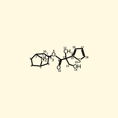 CN1C2CCC1CC(OC(=O)C(C)(CO)c1cccs1)C2